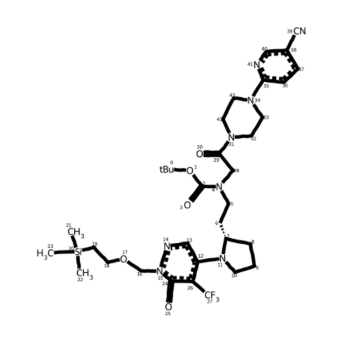 CC(C)(C)OC(=O)N(CC[C@@H]1CCCN1c1cnn(COCC[Si](C)(C)C)c(=O)c1C(F)(F)F)CC(=O)N1CCN(c2ccc(C#N)cn2)CC1